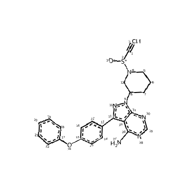 C#C[S+]([O-])N1CCCC(n2nc(-c3ccc(Oc4ccccc4)cc3)c3c(N)ncnc32)C1